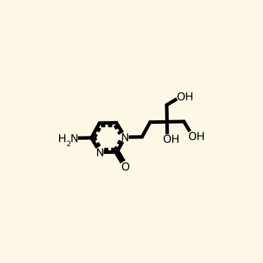 Nc1ccn(CCC(O)(CO)CO)c(=O)n1